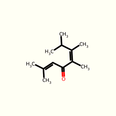 CC(C)=CC(=O)C(C)=C(C)C(C)C